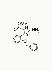 COC(=O)c1nc(N)sc1-c1ccccc1OCc1ccccc1